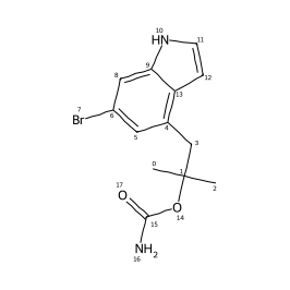 CC(C)(Cc1cc(Br)cc2[nH]ccc12)OC(N)=O